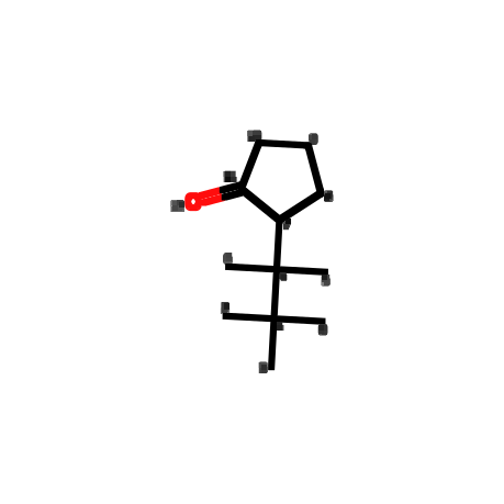 CC(C)(C)C(C)(C)C1CCCC1=O